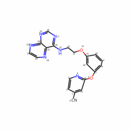 N#Cc1ccnc(Oc2cccc(OCCNc3ncnc4nccnc34)c2)c1